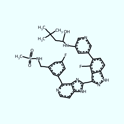 CC(C)(C)CC(O)Nc1cncc(-c2ccc3[nH]nc(-c4nc5c(-c6cc(F)cc(CNS(C)(=O)=O)c6)nccc5[nH]4)c3c2F)c1